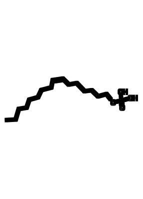 CCCCCCCC/C=C\CCCCCCOP(=O)(O)O